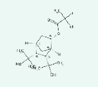 CCC(C)(I)C(=O)O[C@H]1C[C@H]2C[C@@H]1[C@H](C(C)(C)O)[C@@H]2C(C)(C)O